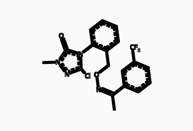 C/C(=N/OCc1ccccc1-n1c(Cl)nn(C)c1=O)c1cccc(C(F)(F)F)c1